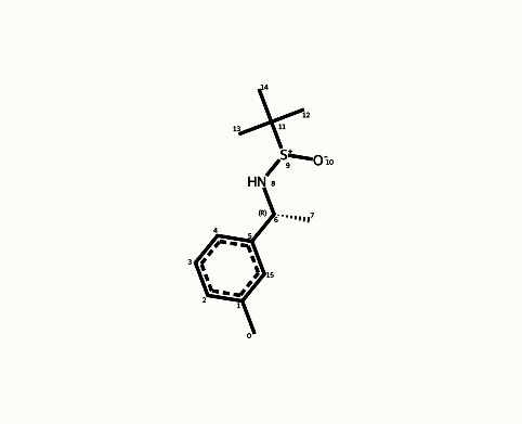 Cc1cccc([C@@H](C)N[S+]([O-])C(C)(C)C)c1